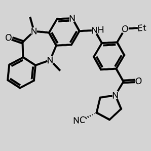 CCOc1cc(C(=O)N2CC[C@H](C#N)C2)ccc1Nc1cc2c(cn1)N(C)C(=O)c1ccccc1N2C